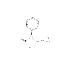 O=C1NNC(C2CC2)N1c1ccccc1